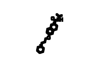 CC(C)NC(=O)N1CCc2cc(OCCCN3CCCCC3)ccc2C1